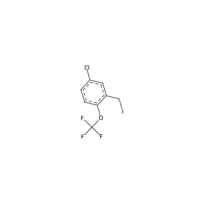 FC(F)(F)Oc1ccc(Cl)cc1CI